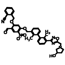 Cc1c(COc2cc(OCc3ccccc3C#N)c(C=O)cc2[N+](=O)[O-])cccc1-c1cccc(-c2noc(CN3CCC(O)C3)n2)c1C